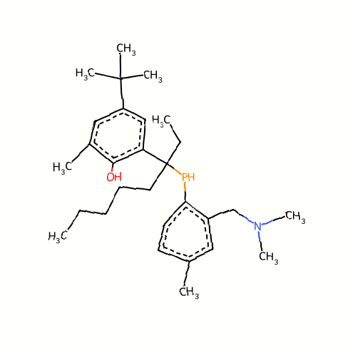 CCCCCC(CC)(Pc1ccc(C)cc1CN(C)C)c1cc(C(C)(C)C)cc(C)c1O